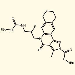 Cc1c2c(=O)n(CC(F)CNC(=O)OC(C)(C)C)c3cc4c(cc3c2nn1C(=O)OC(C)(C)C)CCCC4